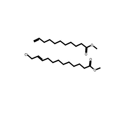 C=CCCCCCCCCC(=O)OC.COC(=O)CCCCCCCCC=CCCl